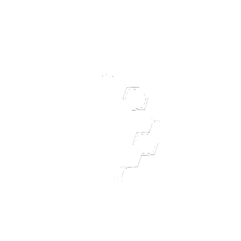 CCCCCc1ccc(Nc2ccc(CNO)cc2)cc1